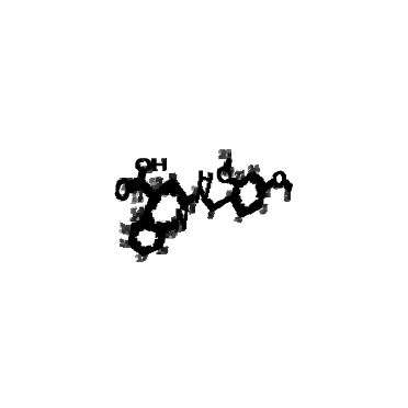 COc1ccc(CNc2cc(C(=O)O)c3ccccc3n2)c(OC)c1